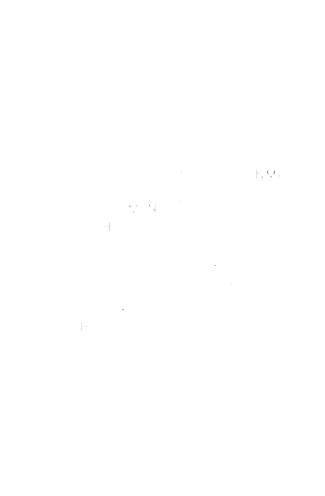 CNC(=O)C1CC2OC2(CCC2OC2(C)CCC2OC2(C)C)CC1C(=O)NC